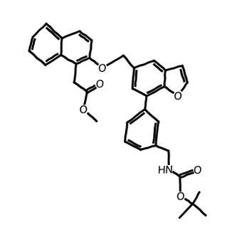 COC(=O)Cc1c(OCc2cc(-c3cccc(CNC(=O)OC(C)(C)C)c3)c3occc3c2)ccc2ccccc12